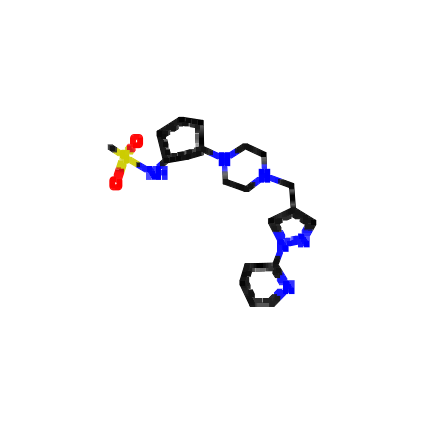 CS(=O)(=O)Nc1cccc(N2CCN(Cc3cnn(-c4ccccn4)c3)CC2)c1